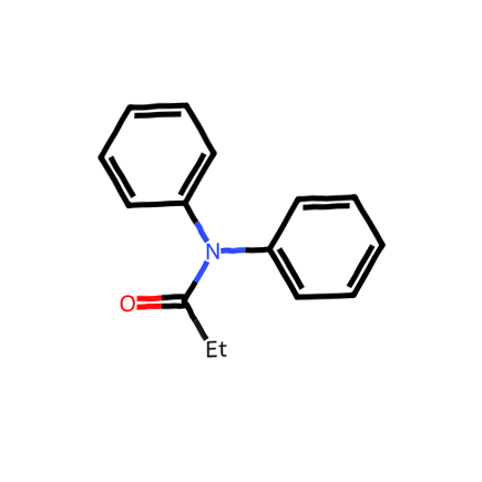 [CH2]CC(=O)N(c1ccccc1)c1ccccc1